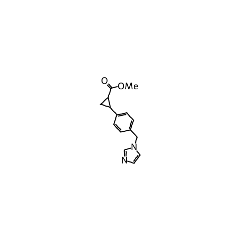 COC(=O)C1CC1c1ccc(Cn2ccnc2)cc1